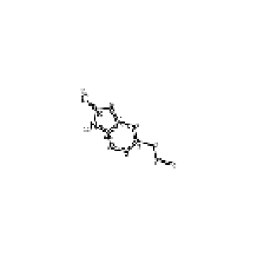 C=CCc1ccc2c(c1)=CC(=O)N=2